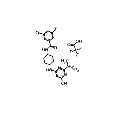 Cc1cc(N[C@H]2CC[C@@H](NC(=O)c3cc(F)cc(Cl)c3)CC2)nc(N(C)C)n1.O=C(O)C(F)(F)F